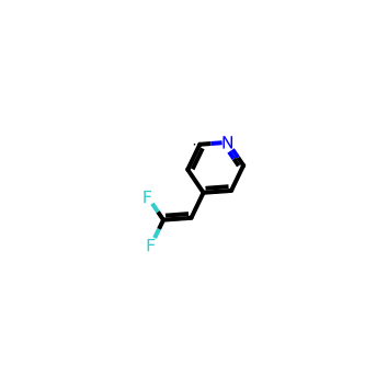 FC(F)=Cc1c[c]ncc1